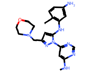 CNc1cc(-n2nc(CN3CCOCC3)cc2Nc2cc(N)ccc2C)ncn1